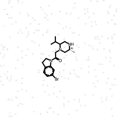 CC(C)C1CN[C@H](C)CN1CC(=O)N1CCc2ccc(Br)cc21